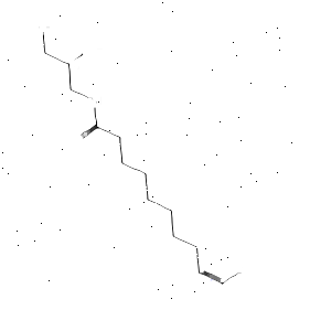 CCCCCCCC/C=C\CCCCCCCC(=O)NC[C@H](O)CO